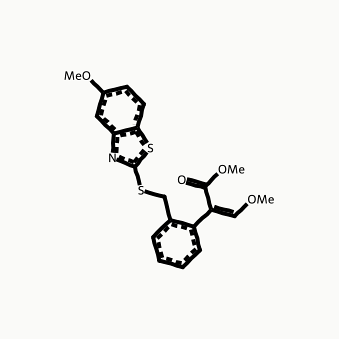 COC=C(C(=O)OC)c1ccccc1CSc1nc2cc(OC)ccc2s1